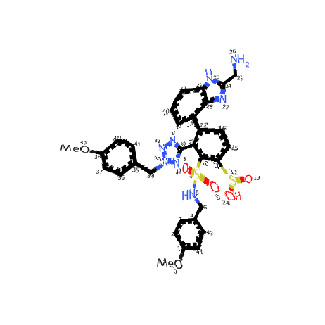 COc1ccc(CNS(=O)(=O)c2c(S(=O)O)ccc(-c3cccc4[nH]c(CN)nc34)c2-c2nnn(Cc3ccc(OC)cc3)n2)cc1